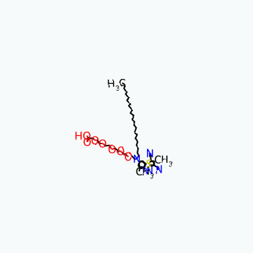 CCCCCCCCCCCCCCCCCCCCCCCCN(CCOCCOCCOCCOCCOCC(=O)O)c1ccc(/N=N\c2sc(C#N)c(C)c2C#N)c(C)c1